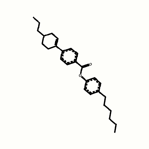 CCCCCCc1ccc(OC(=O)c2ccc(C3=CCC(CCC)CC3)cc2)cc1